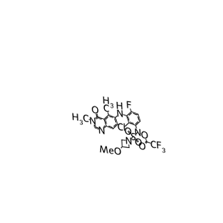 COC1CN(S(=O)(=O)N(OC(=O)C(F)(F)F)c2ccc(F)c(Nc3ccc4ncn(C)c(=O)c4c3C)c2Cl)C1